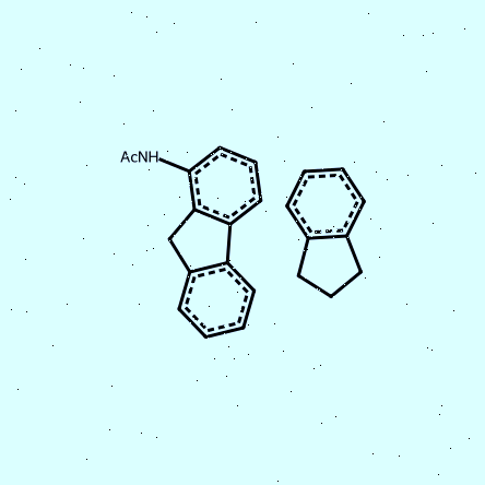 CC(=O)Nc1cccc2c1Cc1ccccc1-2.c1ccc2c(c1)CCC2